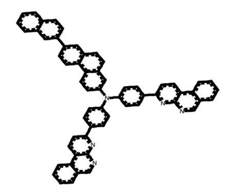 c1ccc2cc(-c3ccc4c(ccc5cc(N(c6ccc(-c7ccc8c(ncc9ccccc98)n7)cc6)c6ccc(-c7ccc8c(ncc9ccccc98)n7)cc6)ccc54)c3)ccc2c1